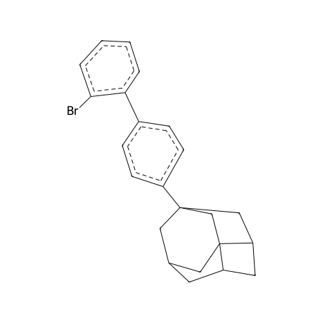 Brc1ccccc1-c1ccc(C23CC4CC5CC(C2)C5(C4)C3)cc1